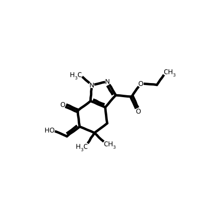 CCOC(=O)c1nn(C)c2c1CC(C)(C)C(=CO)C2=O